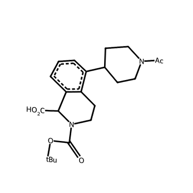 CC(=O)N1CCC(c2cccc3c2CCN(C(=O)OC(C)(C)C)C3C(=O)O)CC1